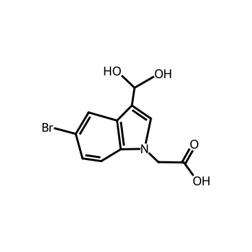 O=C(O)Cn1cc(C(O)O)c2cc(Br)ccc21